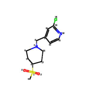 CS(=O)(=O)C1CCN(Cc2ccnc(Cl)c2)CC1